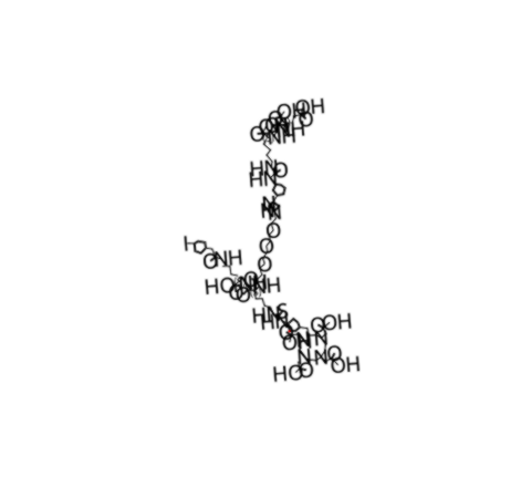 O=C(O)CC[C@H](NC(=O)N[C@@H](CCCCNC(=O)Nc1cccc(-c2cn(CCOCCOCCOCCC(=O)N[C@@H](CCCCNC(=S)Nc3ccc(CC4CN(CC(=O)O)CCN(CC(=O)O)CCN(CC(=O)O)CCN4CC(=O)O)cc3)C(=O)N[C@@H](CCCCNC(=O)Cc3ccc(I)cc3)C(=O)O)nn2)c1)C(=O)O)C(=O)O